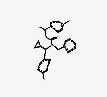 CC(CC(=O)N(Cc1ccccn1)C(c1ccc(Cl)cc1)C1CC1)c1ccc(F)cc1